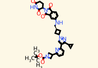 CC(C)(C)OC(=O)N1CC(c2cccc(-c3cn([C@H]4C[C@H](CNc5ccc6c(c5)C(=O)N(C5CCC(=O)NC5=O)C6=O)C4)nc3C3CC3)n2)C1